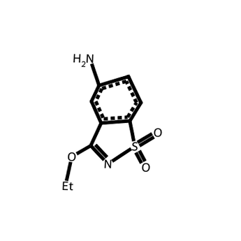 CCOC1=NS(=O)(=O)c2ccc(N)cc21